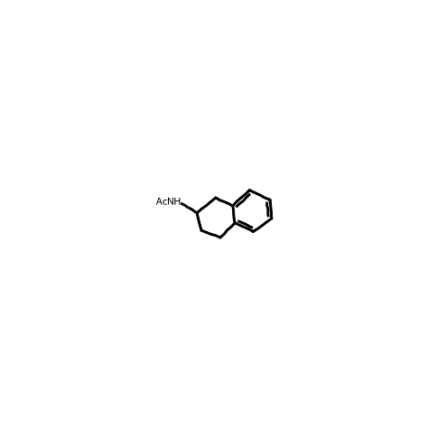 CC(=O)NC1CCc2ccccc2C1